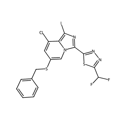 FC(F)c1nnc(-c2nc(I)c3c(Cl)cc(SCc4ccccc4)cn23)s1